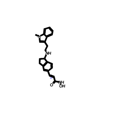 Cn1cc(CCNC2CCc3cc(/C=C/C(=O)NO)ccc32)c2ccccc21